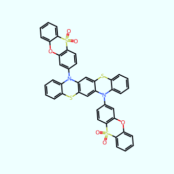 O=S1(=O)c2ccccc2Oc2cc(-n3c4ccccc4sc4cc5c(cc43)sc3ccccc3n5-c3ccc4c(c3)Oc3ccccc3S4(=O)=O)ccc21